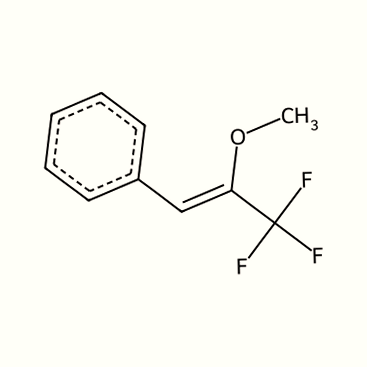 CO/C(=C\c1ccccc1)C(F)(F)F